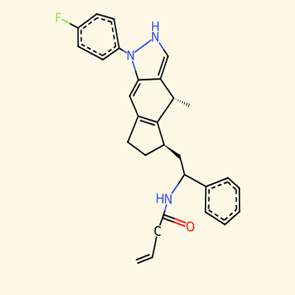 C=CCC(=O)NC(C[C@H]1CCC2=C1[C@@H](C)C1=CNN(c3ccc(F)cc3)C1=C2)c1ccccc1